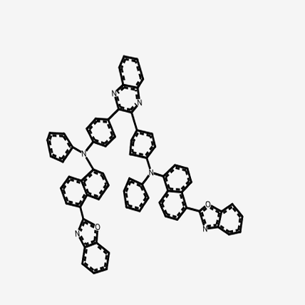 c1ccc(N(c2ccc(-c3nc4ccccc4nc3-c3ccc(N(c4ccccc4)c4cccc5c(-c6nc7ccccc7o6)cccc45)cc3)cc2)c2cccc3c(-c4nc5ccccc5o4)cccc23)cc1